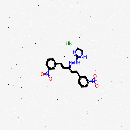 Br.O=[N+]([O-])c1cccc(/C=C/C(/C=C/c2cccc([N+](=O)[O-])c2)=NNC2=NCCN2)c1